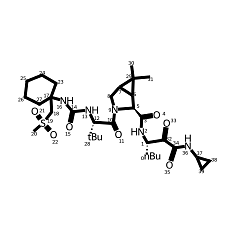 CCCC[C@H](NC(=O)[C@@H]1C2C(CN1C(=O)[C@@H](NC(=O)NC1(CS(C)(=O)=O)CCCCC1)C(C)(C)C)C2(C)C)C(=O)C(=O)NC1CC1